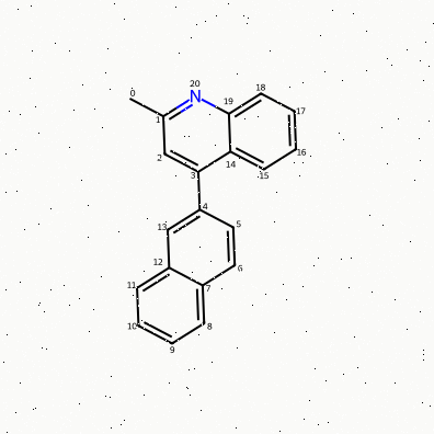 Cc1cc(-c2ccc3ccccc3c2)c2ccccc2n1